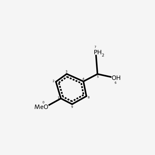 COc1ccc(C(O)P)cc1